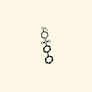 CC1CCN(S(=O)(=O)c2ccc(-c3ccccc3)cc2)CC1